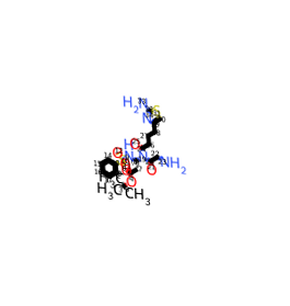 CC(C)(C)OC(=O)C[C@H](NS(=O)(=O)c1ccccc1)N(C(=O)CN)C(=O)CCCc1csc(N)n1